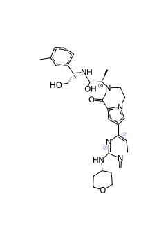 C=N/C(=N\C(=C/C)c1cc2n(c1)CCN([C@H](C)C(O)N[C@H](CO)c1cccc(C)c1)C2=O)NC1CCOCC1